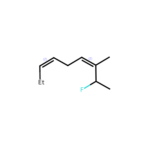 CC/C=C\C/C=C(/C)C(C)F